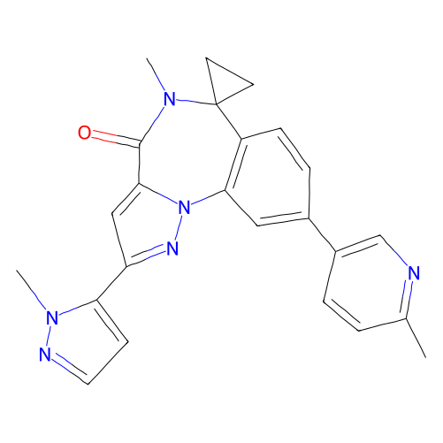 Cc1ccc(-c2ccc3c(c2)-n2nc(-c4ccnn4C)cc2C(=O)N(C)C32CC2)cn1